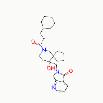 O=C(CCC1CCCCC1)N1CCC(O)(CN2Cc3ncccc3C2=O)C2(CCCC2)C1